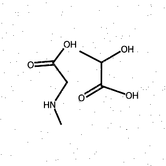 CC(O)C(=O)O.CNCC(=O)O